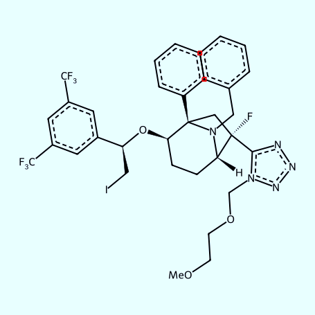 COCCOCn1nnnc1[C@]1(F)C[C@@]2(c3ccccc3)[C@H](O[C@@H](CI)c3cc(C(F)(F)F)cc(C(F)(F)F)c3)CC[C@@H]1N2Cc1ccccc1